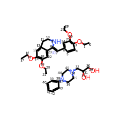 CCOc1ccc(/C=C2\NCCc3cc(OCC)c(OCC)cc32)cc1OCC.OCC(O)CN1CCN(c2ccccc2)CC1